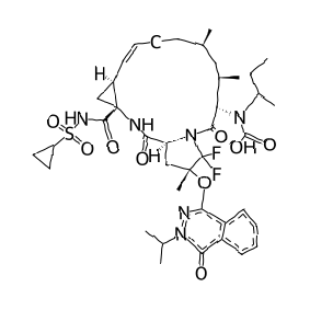 CCC(C)N(C(=O)O)[C@@H]1C(=O)N2[C@@H](C[C@@](C)(Oc3nn(C(C)C)c(=O)c4ccccc34)C2(F)F)C(=O)N[C@]2(C(=O)NS(=O)(=O)C3CC3)C[C@H]2/C=C\CC[C@@H](C)C[C@H]1C